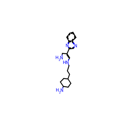 NC/C(=C\NCCCC1CCC(N)CC1)c1cnc2ccccc2n1